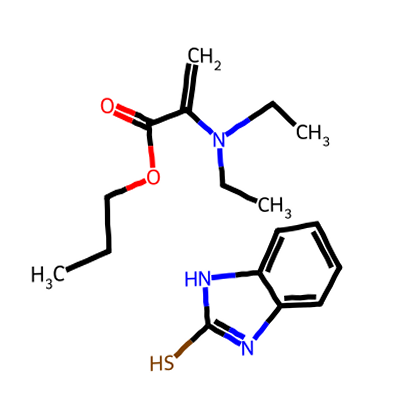 C=C(C(=O)OCCC)N(CC)CC.Sc1nc2ccccc2[nH]1